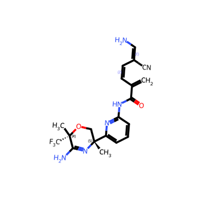 C=C(/C=C\C(C#N)=C/N)C(=O)Nc1cccc([C@@]2(C)CO[C@@](C)(C(F)(F)F)C(N)=N2)n1